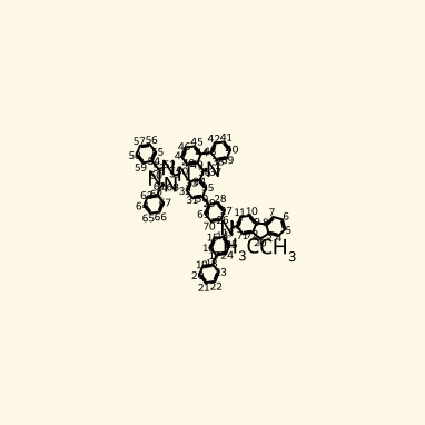 CC1(C)c2ccccc2-c2ccc(N(c3ccc(-c4ccccc4)cc3)c3ccc(-c4ccc5c(c4)-c4nc6ccccc6c6cccc(c46)N5c4nc(-c5ccccc5)nc(-c5ccccc5)n4)cc3)cc21